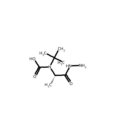 C[C@@H](C(=O)NN)N(C(=O)O)C(C)(C)C